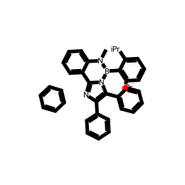 CC(C)c1cccc(C(C)C)c1B1N(C)c2ccccc2-c2nc(-c3ccccc3)c(-c3ccccc3)n21.c1ccccc1